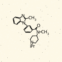 Cc1nc2ccccc2n1-c1cccc(C(=O)N(C)C2CCN(C(C)C)CC2)c1